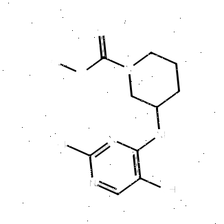 Cc1cnc(Cl)nc1NC1CCCN(C(=O)OC(C)(C)C)C1